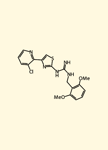 COc1cccc(OC)c1CNC(=N)Nc1nc(-c2ncccc2Cl)cs1